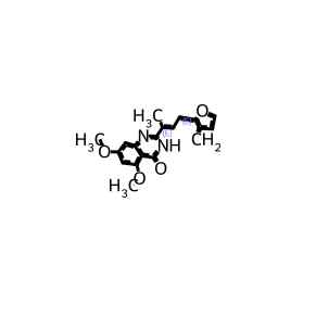 C=c1cco/c1=C/C=C(\C)c1nc2cc(OC)cc(OC)c2c(=O)[nH]1